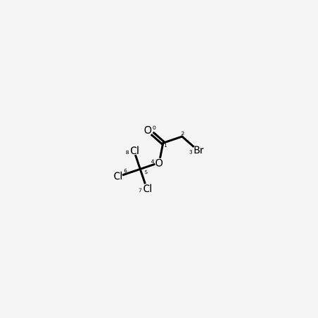 O=C(CBr)OC(Cl)(Cl)Cl